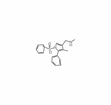 CNCc1cn(S(=O)(=O)c2ccccc2)c(-c2ccccc2)c1C